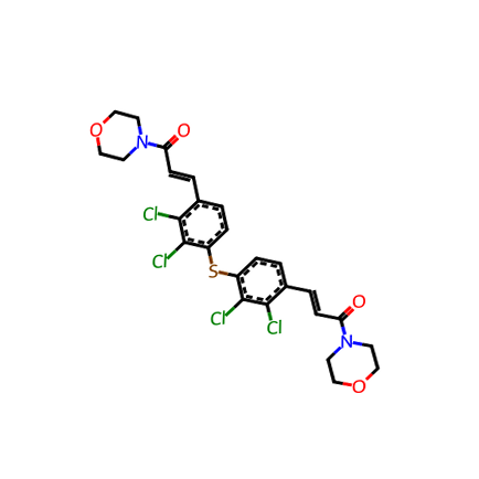 O=C(/C=C/c1ccc(Sc2ccc(/C=C/C(=O)N3CCOCC3)c(Cl)c2Cl)c(Cl)c1Cl)N1CCOCC1